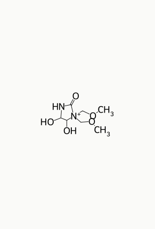 COC[N+]1(COC)C(=O)NC(O)C1O